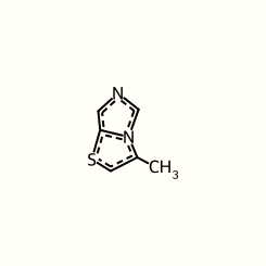 Cc1csc2cncn12